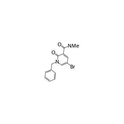 CNC(=O)c1cc(Br)cn(Cc2ccccc2)c1=O